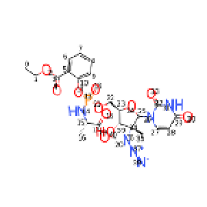 CCOC(=O)c1ccccc1OP(=O)(N[C@@H](C)C(=O)OC)OC[C@H]1OC(n2ccc(=O)[nH]c2=O)[C@](C)(N=[N+]=[N-])[C@@H]1O